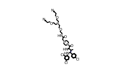 C/C(C(=N)C(=O)N1CCN(CC(=O)NCCOCCN(CCOCCC#N)CCOCCC#N)CC1)=C(/Nc1ccc(Cl)cc1Cl)c1ccc(Cl)cc1